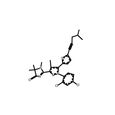 Cc1c(C2=NC(=O)C(C)(C)N2C)nn(-c2ccc(Cl)cc2Cl)c1-c1ccc(C#CCC(C)C)s1